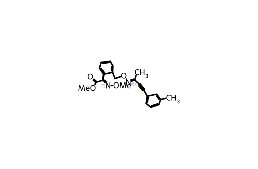 CO/N=C(/C(=O)OC)c1ccccc1CO/N=C(\C)C#Cc1cccc(C)c1